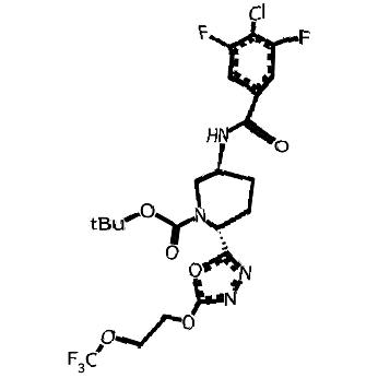 CC(C)(C)OC(=O)N1C[C@@H](NC(=O)c2cc(F)c(Cl)c(F)c2)CC[C@@H]1c1nnc(OCCOC(F)(F)F)o1